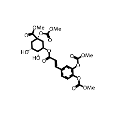 COC(=O)Oc1ccc(/C=C/C(=O)O[C@@H]2C[C@](OC(=O)OC)(C(=O)OC)C[C@@H](O)[C@H]2O)cc1OC(=O)OC